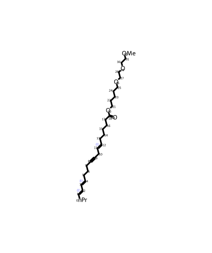 CCC/C=C/C=C/CCCC#CC/C=C/CCCCCC(=O)OCCCCCOCCOCCOC